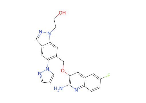 Nc1nc2ccc(F)cc2cc1OCc1cc2c(cnn2CCO)cc1-n1cccn1